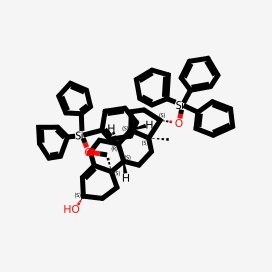 C[C@]12CC[C@H]3[C@@H](CCC4=C[C@@H](O)CC[C@@]43CO[Si](c3ccccc3)(c3ccccc3)c3ccccc3)[C@@H]1CC[C@@H]2O[Si](c1ccccc1)(c1ccccc1)c1ccccc1